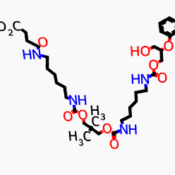 CC(C)(COC(=O)NCCCCCCNC(=O)CCC(=O)O)COC(=O)NCCCCCCNC(=O)OCC(CO)Oc1ccccc1